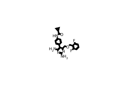 Nc1nc(N)c(-c2ccc(NC(=O)C3CC3)cc2)c(COCc2c(F)cccc2F)n1